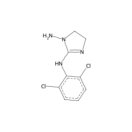 NN1CCN=C1Nc1c(Cl)cccc1Cl